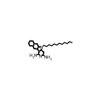 CCCCCCCCCCCCn1c2cc3ccccc3cc2c2c(N)nc(N)cc21